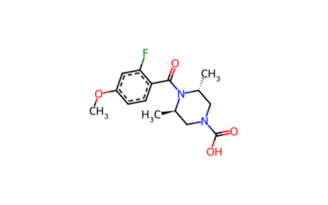 COc1ccc(C(=O)N2[C@H](C)CN(C(=O)O)C[C@H]2C)c(F)c1